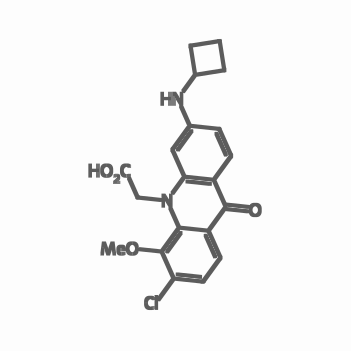 COc1c(Cl)ccc2c(=O)c3ccc(NC4CCC4)cc3n(CC(=O)O)c12